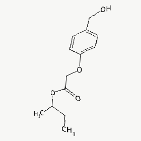 CCC(C)OC(=O)COc1ccc(CO)cc1